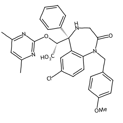 COc1ccc(CN2C(=O)CN[C@](c3ccccc3)([C@@H](Oc3nc(C)cc(C)n3)C(=O)O)c3cc(Cl)ccc32)cc1